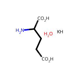 NC(CCC(=O)O)C(=O)O.O.[KH]